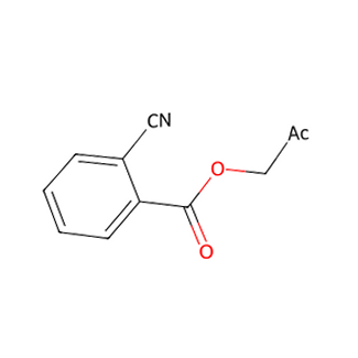 CC(=O)COC(=O)c1ccccc1C#N